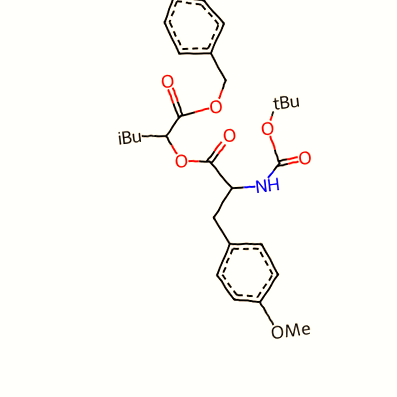 CCC(C)C(OC(=O)C(Cc1ccc(OC)cc1)NC(=O)OC(C)(C)C)C(=O)OCc1ccccc1